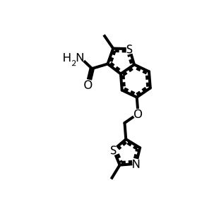 Cc1ncc(COc2ccc3sc(C)c(C(N)=O)c3c2)s1